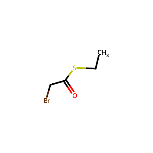 CCSC(=O)CBr